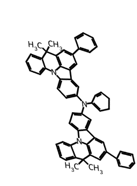 CC1(C)c2ccccc2-n2c3ccc(N(C4=CCCC=C4)c4ccc5c(c4)c4cc(-c6ccccc6)cc6c4n5-c4ccccc4C6(C)C)cc3c3cc(-c4ccccc4)cc1c32